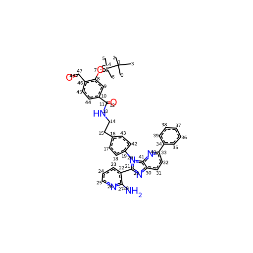 CC(C)(C)[Si](C)(C)Oc1cc(C(=O)NCCc2ccc(-n3c(-c4cccnc4N)nc4ccc(-c5ccccc5)nc43)cc2)ccc1C=O